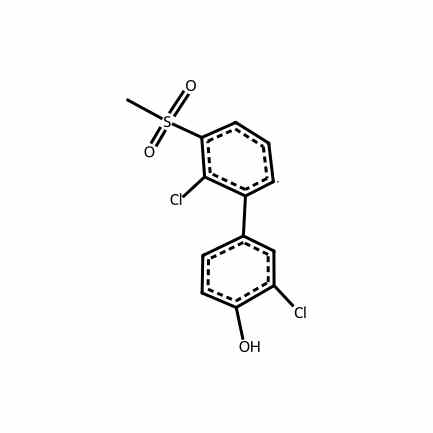 CS(=O)(=O)c1cc[c]c(-c2ccc(O)c(Cl)c2)c1Cl